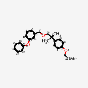 COCOc1ccc(C(C)(C)COCc2cccc(Oc3ccccc3)c2)cc1